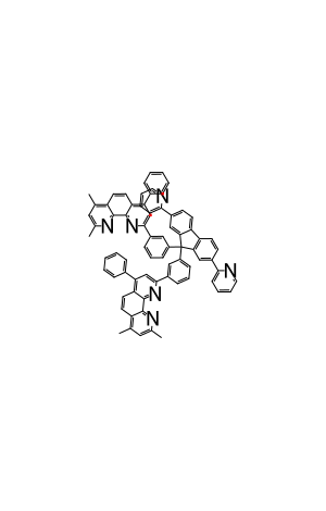 Cc1cc(C)c2ccc3c(-c4ccccc4)cc(-c4cccc(C5(c6cccc(-c7cc(-c8ccccc8)c8ccc9c(C)cc(C)nc9c8n7)c6)c6cc(-c7ccccn7)ccc6-c6ccc(-c7ccccn7)cc65)c4)nc3c2n1